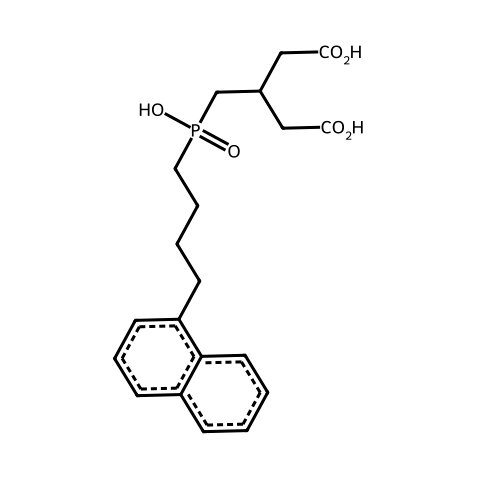 O=C(O)CC(CC(=O)O)CP(=O)(O)CCCCc1cccc2ccccc12